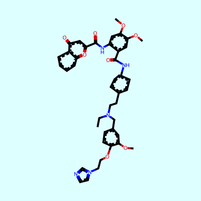 CCN(CCc1ccc(NC(=O)c2cc(OC)c(OC)cc2NC(=O)c2cc(=O)c3ccccc3o2)cc1)Cc1ccc(OCCn2ccnc2)c(OC)c1